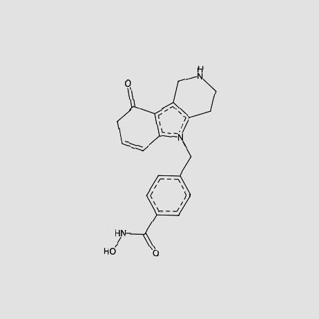 O=C(NO)c1ccc(Cn2c3c(c4c2CCNC4)C(=O)CC=C3)cc1